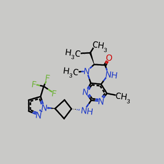 Cc1nc(N[C@H]2C[C@H](n3nccc3C(F)(F)F)C2)nc2c1NC(=O)[C@H](C(C)C)N2C